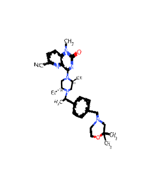 CC[C@H]1CN(C(C)c2ccc(CN3CCOC(C)(C)C3)cc2)[C@H](CC)CN1c1nc(=O)n(C)c2ccc(C#N)nc12